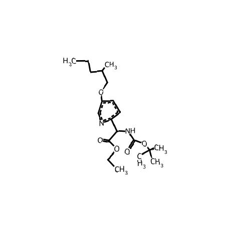 CCCC(C)COc1ccc(C(NC(=O)OC(C)(C)C)C(=O)OCC)nc1